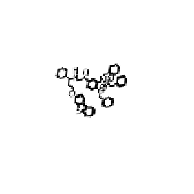 O=C(CNC(CCOc1ccc2c(c1)sc1ccccc12)c1ccccc1)c1ccc(OCc2ccccc2)c(N(Cc2ccccc2)S(=O)(=O)Cc2ccccc2)c1